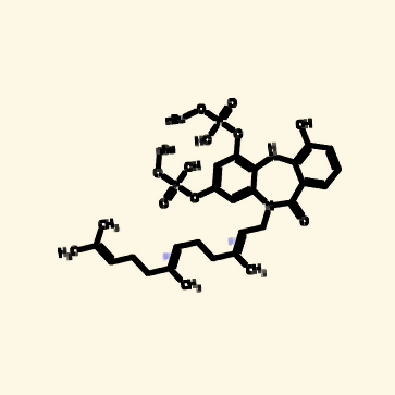 CCCCOP(=O)(O)Oc1cc(OP(=O)(O)OCCCC)c2c(c1)N(C/C=C(\C)CC/C=C(\C)CCC=C(C)C)C(=O)c1cccc(O)c1N2